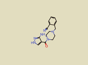 N#Cc1ccccc1CN1CCN(C(=O)c2c[nH]nc2N)CC1